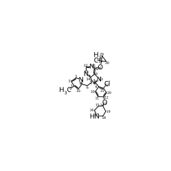 Cc1ccnc(Cn2c(-c3ccc(OC4CCNCC4)cc3Cl)nc3c(OC4(C)CC4)ncnc32)c1